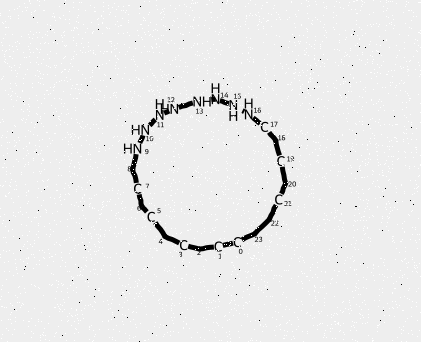 C1CCCCCCCCNNNNNNNNCCCCCCC1